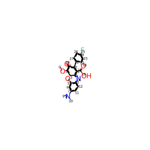 COc1c2oc3cc(N(C)C)ccc3nc-2c(C(=O)O)c(-c2ccc(F)cc2)c1=O